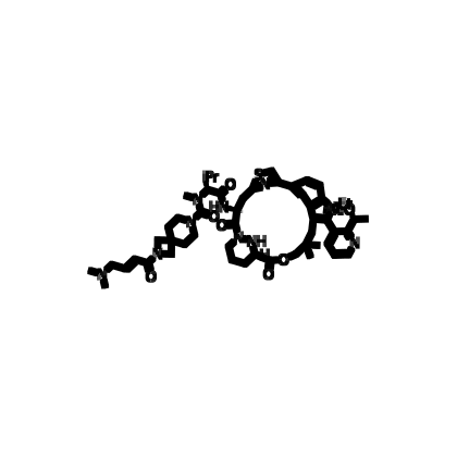 CCn1c(-c2cccnc2[C@H](C)OC)c2c3cc(ccc31)-c1csc(n1)C[C@H](NC(=O)[C@H](C(C)C)N(C)C(=O)N1CCC3(CC1)CN(C(=O)/C=C/CN(C)C)C3)C(=O)N1CCC[C@H](N1)C(=O)OCC(C)(C)C2